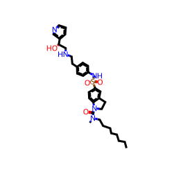 CCCCCCCCN(C)C(=O)N1CCc2cc(S(=O)(=O)Nc3ccc(CCNCC(O)c4cccnc4)cc3)ccc21